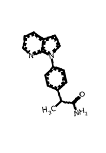 CC(C(N)=O)c1ccc(-n2ccc3cccnc32)cc1